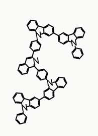 c1ccc(-n2c3ccccc3c3cc(-c4ccc5c6ccccc6n(-c6ccc(-c7cc8ccccc8c(-c8ccc(-n9c%10ccccc%10c%10ccc(-c%11ccc%12c(c%11)c%11ccccc%11n%12-c%11ccccc%11)cc%109)cc8)n7)cc6)c5c4)ccc32)cc1